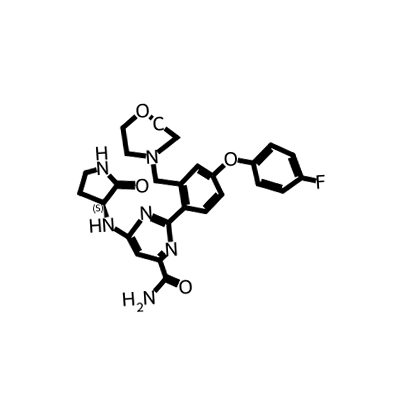 NC(=O)c1cc(N[C@H]2CCNC2=O)nc(-c2ccc(Oc3ccc(F)cc3)cc2CN2CCOCC2)n1